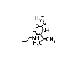 COC(=O)N[C@H](C(=O)NCCI)C(C)C